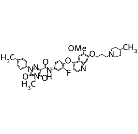 COc1cc2c(Oc3ccc(NC(=O)c4nn(-c5ccc(C)cc5)c(=O)n(C)c4=O)cc3F)ccnc2cc1OCCCN1CCC(C)CC1